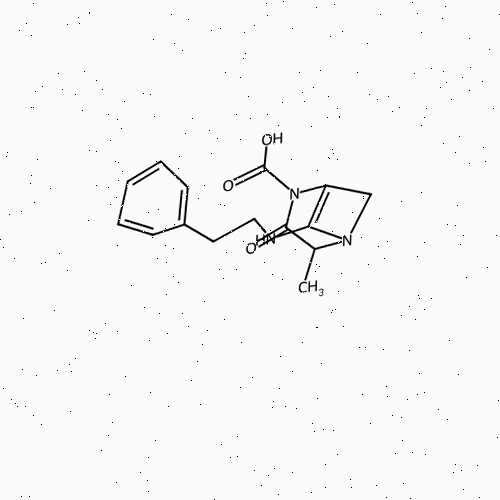 CC1C(=O)N(C(=O)O)C2=C(NCCc3ccccc3)N1C2